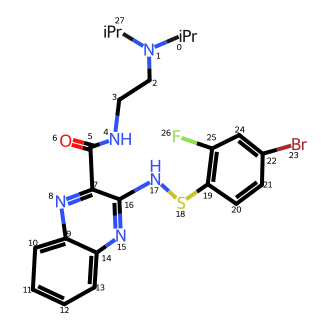 CC(C)N(CCNC(=O)c1nc2ccccc2nc1NSc1ccc(Br)cc1F)C(C)C